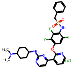 CN(C)C1CCC(Nc2nccc(-c3cccnc3Oc3cc(F)c(NS(=O)(=O)Cc4ccccc4)c(F)c3F)n2)CC1.Cl